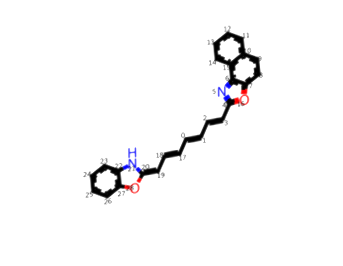 C(=CC=Cc1nc2c(ccc3ccccc32)o1)C=CC=C1Nc2ccccc2O1